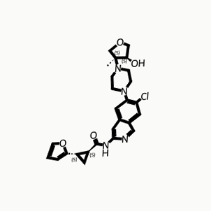 C[C@]1(N2CCN(c3cc4cc(NC(=O)[C@H]5C[C@@H]5c5ccco5)ncc4cc3Cl)CC2)COC[C@H]1O